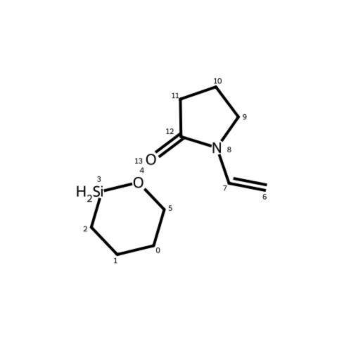 C1CC[SiH2]OC1.C=CN1CCCC1=O